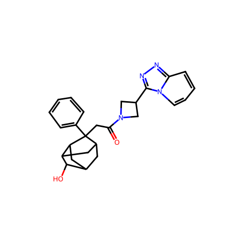 O=C(CC1(c2ccccc2)C2CC3CC1C(C2)C3O)N1CC(c2nnc3ccccn23)C1